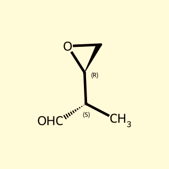 C[C@H](C=O)[C@@H]1CO1